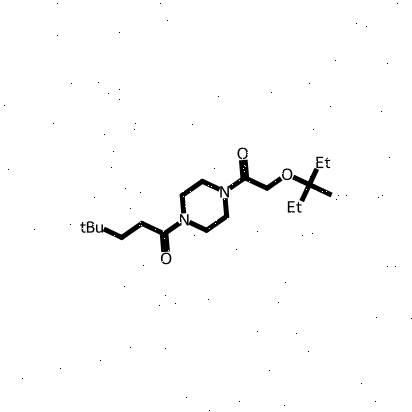 CCC(C)(CC)OCC(=O)N1CCN(C(=O)CCC(C)(C)C)CC1